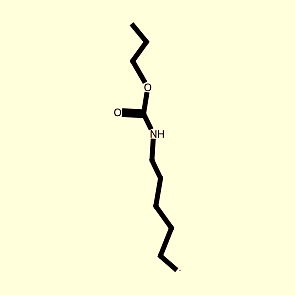 [CH2]CCCCCNC(=O)OCCC